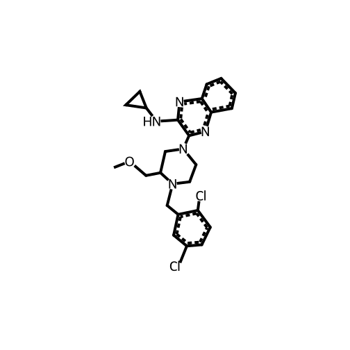 COCC1CN(c2nc3ccccc3nc2NC2CC2)CCN1Cc1cc(Cl)ccc1Cl